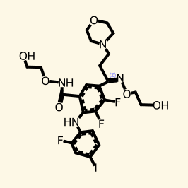 O=C(NOCCO)c1cc(/C(CCN2CCOCC2)=N\OCCO)c(F)c(F)c1Nc1ccc(I)cc1F